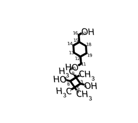 CC1(C)C(O)C(C)(C)C1O.OCC1CCC(CO)CC1